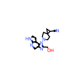 N#CC1CC12CCN(n1c(CO)nc3cnc4[nH]ccc4c31)CC2